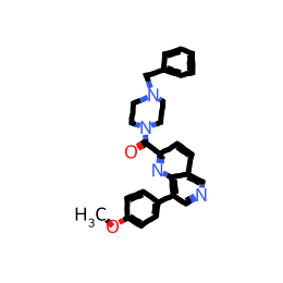 COc1ccc(-c2cncc3ccc(C(=O)N4CCN(Cc5ccccc5)CC4)nc23)cc1